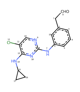 O=CCc1cccc(Nc2ncc(Cl)c(NC3CC3)n2)c1